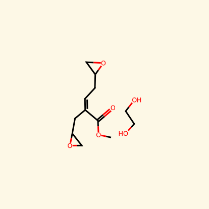 COC(=O)C(=CCC1CO1)CC1CO1.OCCO